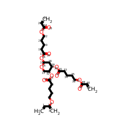 C=CC(=C)OCCCCC(=O)O[C@@H]1COC(OC(=O)CCCCOC(=O)C=C)C[C@@H]1OC(=O)CCCCOC(=O)C=C